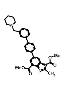 COC(=O)c1cc(-c2ccc(-c3cccc(CN4CCCCC4)c3)cc2)cc2c1nc(C)n2C(=O)OC(C)(C)C